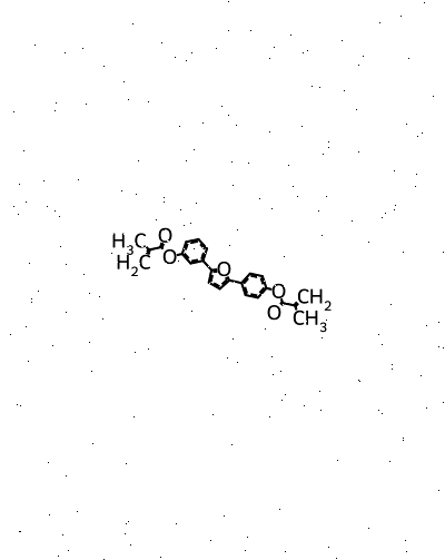 C=C(C)C(=O)Oc1ccc(-c2ccc(-c3cccc(OC(=O)C(=C)C)c3)o2)cc1